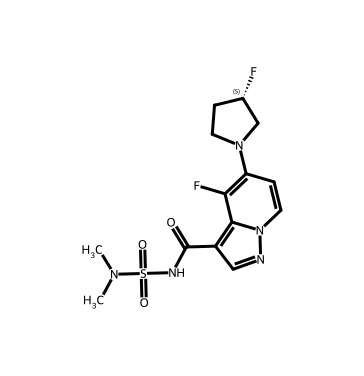 CN(C)S(=O)(=O)NC(=O)c1cnn2ccc(N3CC[C@H](F)C3)c(F)c12